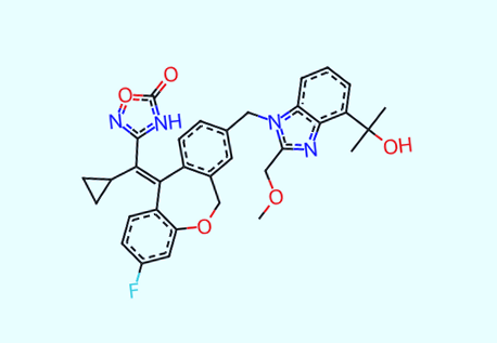 COCc1nc2c(C(C)(C)O)cccc2n1Cc1ccc2c(c1)COc1cc(F)ccc1/C2=C(/c1noc(=O)[nH]1)C1CC1